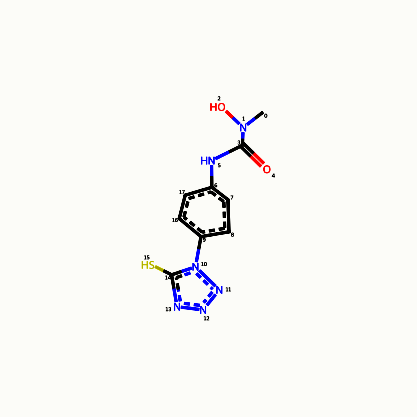 CN(O)C(=O)Nc1ccc(-n2nnnc2S)cc1